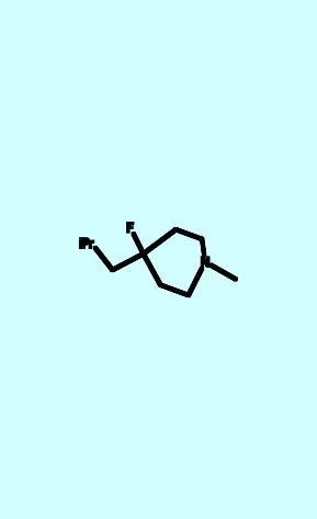 CC(C)CC1(F)CCN(C)CC1